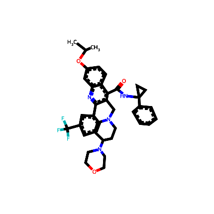 CC(C)Oc1ccc2c(C(=O)NC3(c4ccccc4)CC3)c(CN3CCC(N4CCOCC4)CC3)c(-c3cccc(C(F)(F)F)c3)nc2c1